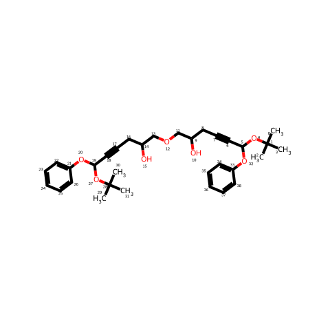 CC(C)(C)OC(C#CCC(O)COCC(O)CC#CC(Oc1ccccc1)OC(C)(C)C)Oc1ccccc1